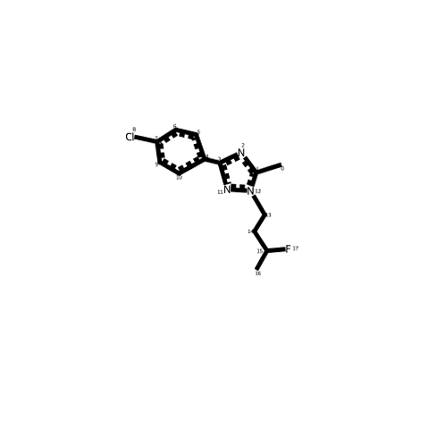 Cc1nc(-c2ccc(Cl)cc2)nn1CCC(C)F